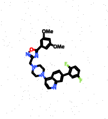 COc1cc(OC)cc(-c2nc(CN3CCN(c4ccnc5cc(-c6cc(F)ccc6F)ccc45)CC3)no2)c1